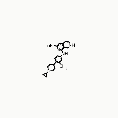 CCCc1cc2c(c(Nc3ccc(C4CCN(C5CC5)CC4)c(C)c3)n1)CNC=C2